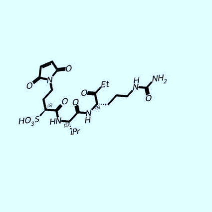 CCC(=O)[C@H](CCCNC(N)=O)NC(=O)[C@@H](NC(=O)[C@H](CCN1C(=O)C=CC1=O)S(=O)(=O)O)C(C)C